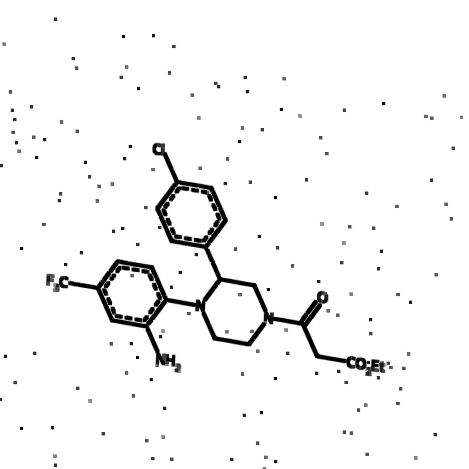 CCOC(=O)CC(=O)N1CCN(c2ccc(C(F)(F)F)cc2N)C(c2ccc(Cl)cc2)C1